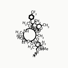 CC[C@H]1OC(=O)[C@H](C)[C@@H](O[C@H]2C[C@@](C)(OC)[C@](O)(CN=[N+]=[N-])[C@H](C)O2)[C@H](C)[C@@H](O[C@@H]2O[C@H](C)C[C@H](N(C)C(=O)N(C)c3ccc(C(F)(F)F)cc3)[C@H]2O)[C@](C)(O)C[C@@H](C)CN[C@H](C)[C@@H](O)[C@]1(C)O